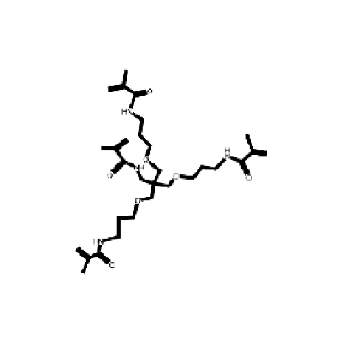 C=C(C)C(=O)NCCCOCC(CNC(=O)C(=C)C)(COCCCNC(=O)C(=C)C)COCCCNC(=O)C(=C)C